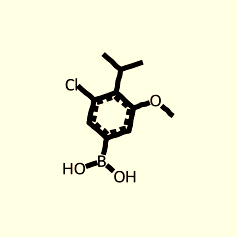 COc1cc(B(O)O)cc(Cl)c1C(C)C